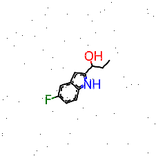 CCC(O)c1cc2cc(F)ccc2[nH]1